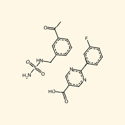 CC(=O)c1cccc(CNS(N)(=O)=O)c1.O=C(O)c1cnc(-c2cccc(F)c2)nc1